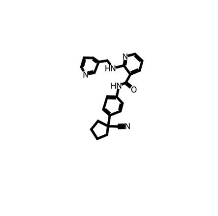 N#CC1(c2ccc(NC(=O)c3cccnc3NCc3cccnc3)cc2)CCCC1